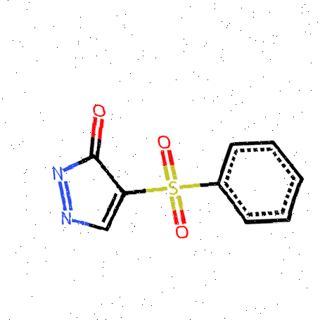 O=C1N=NC=C1S(=O)(=O)c1ccccc1